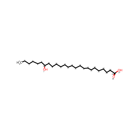 CCCCCCC(O)CCCCCCCCCCCCCCCCCC(=O)O